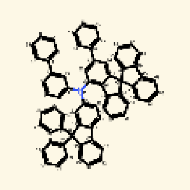 c1ccc(-c2cccc(N(c3ccc4c(c3)C(c3ccccc3)(c3ccccc3)c3ccccc3-4)c3cc(-c4ccccc4)cc4c3-c3ccccc3C43c4ccccc4-c4ccccc43)c2)cc1